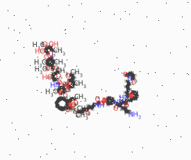 COc1c(C)c(OC2OC(C)C(O)C(OC)C2O)c(I)c(C)c1C(=O)SC1C(O)CC(ONC2C(C)OC(O[C@H]3C#C/C=C\C#C[C@]4(O)CC(=O)C(CC(C)=O)=C3/C4=C/CSSC(C)(C)CCC(=O)CCCNC(=O)OCc3ccc(NC(=O)[C@H](CCCCN)CC(=O)[C@H](Cc4ccccc4)NC(=O)CCCCCN4C(=O)C=CC4=O)cc3)C(OC3CC(C)C(CC(C)=O)CO3)C2O)OC1C